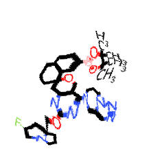 CC1(C)OB(c2ccc3c(c2)C2(CCC3)Cc3nc(OC[C@@]45CCCN4C[C@H](F)C5)nc(N4CCCn5nncc5C4)c3CO2)OC1(C)C